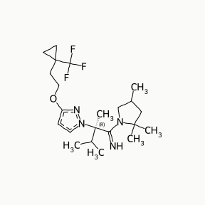 CC1CN(C(=N)[C@@](C)(C(C)C)n2ccc(OCCC3(C(F)(F)F)CC3)n2)C(C)(C)C1